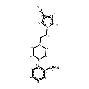 COc1ccccc1N1CCN(CC[n+]2cc([O-])on2)CC1